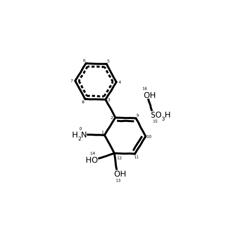 NC1C(c2ccccc2)=CC=CC1(O)O.O=S(=O)(O)O